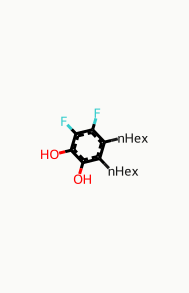 CCCCCCc1c(O)c(O)c(F)c(F)c1CCCCCC